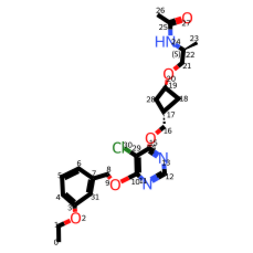 CCOc1cccc(COc2ncnc(OC[C@H]3C[C@H](OC[C@H](C)NC(C)=O)C3)c2Cl)c1